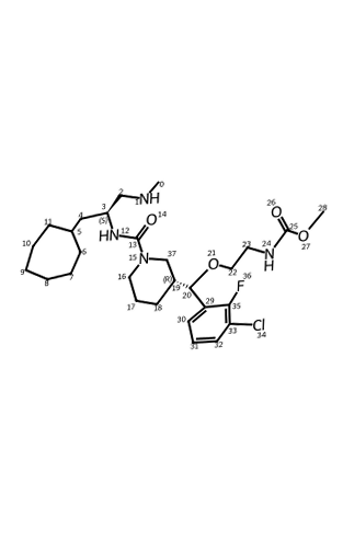 CNC[C@H](CC1CCCCCC1)NC(=O)N1CCC[C@@H](C(OCCNC(=O)OC)c2cccc(Cl)c2F)C1